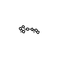 c1ccc(N(c2ccc(-c3ccc4c(c3)sc3c5ccccc5ccc43)cc2)c2cccc3sc4ccccc4c23)cc1